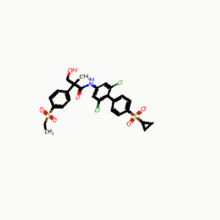 CCS(=O)(=O)c1ccc(C(C)(CO)C(=O)Nc2cc(Cl)c(-c3ccc(S(=O)(=O)C4CC4)cc3)c(Cl)c2)cc1